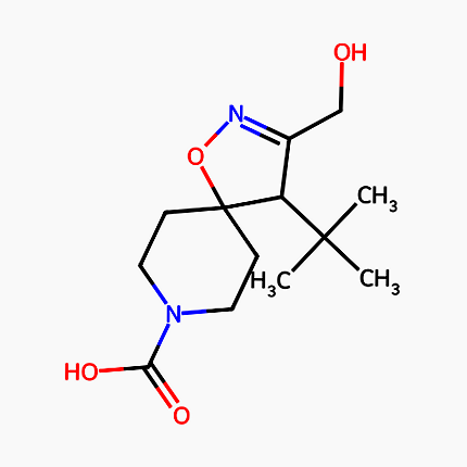 CC(C)(C)C1C(CO)=NOC12CCN(C(=O)O)CC2